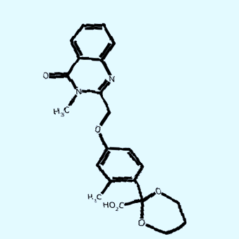 Cc1cc(OCc2nc3ccccc3c(=O)n2C)ccc1C1(C(=O)O)OCCCO1